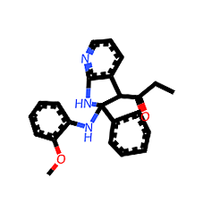 CCC(=O)C1c2cccnc2NC1(Nc1ccccc1OC)c1ccccc1